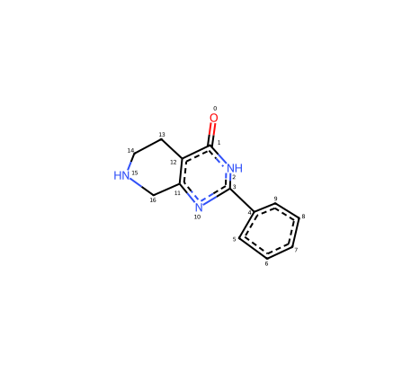 O=c1[nH]c(-c2ccccc2)nc2c1CCNC2